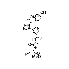 COC(=O)[C@H](CC(C)C)N1CC[C@@H](NC(=O)c2cncc(-c3cnnn3[C@@H](Cc3ccc(O)cc3)C(=O)OC)c2)C1=O